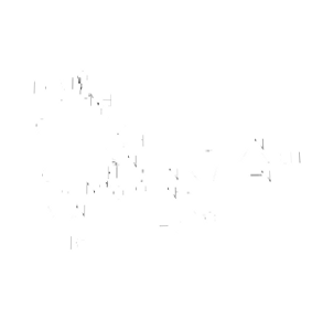 CC(=O)c1nn(CC(=O)N2[C@H]3CC4(CNC(=O)C(C)(C)CCCCCc5ccc(Br)nc5NC3=O)C[C@@H]24)c2ccc(-c3cnc(C)nc3)cc12